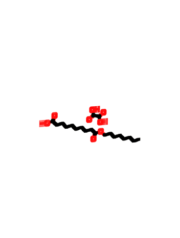 CCCCCCCCOC(=O)CCCCCCCCC(=O)O.O=C(O)C(=O)O